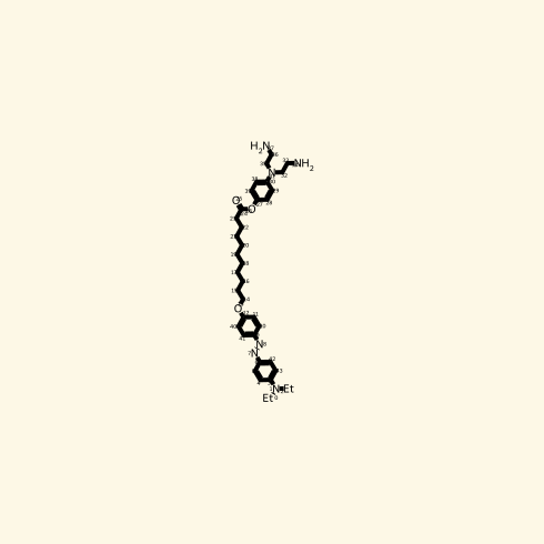 CCN(CC)c1ccc(N=Nc2ccc(OCCCCCCCCCCC(=O)Oc3ccc(N(CCN)CCN)cc3)cc2)cc1